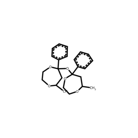 CC1CC(OC2(c3ccccc3)CC(C)OCCO2)(c2ccccc2)OCCO1